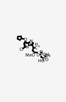 CO[C@H](COP(=O)(O)CP(=O)(O)O)CC(C)c1cnc2c(OC3CCCC3)cc(Cl)nn12